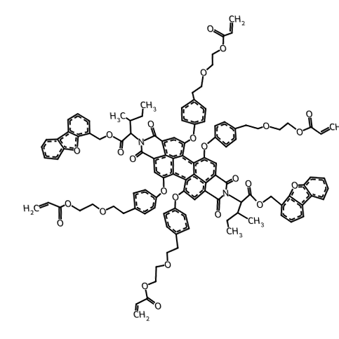 C=CC(=O)OCCOCCc1ccc(Oc2cc3c4c(cc(Oc5ccc(CCOCCOC(=O)C=C)cc5)c5c6c(Oc7ccc(CCOCCOC(=O)C=C)cc7)cc7c8c(cc(Oc9ccc(CCOCCOC(=O)C=C)cc9)c(c2c45)c86)C(=O)N(C(C(=O)OCc2cccc4c2oc2ccccc24)C(C)CC)C7=O)C(=O)N(C(C(=O)OCc2cccc4c2oc2ccccc24)C(C)CC)C3=O)cc1